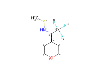 CSN[C@@H](C1CCOCC1)C(F)(F)F